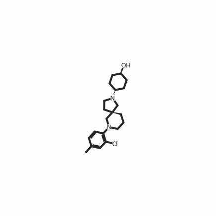 Cc1ccc(N2CCC[C@]3(CCN([C@H]4CC[C@H](O)CC4)C3)C2)c(Cl)c1